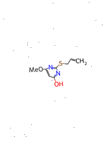 C=CCSc1nc(O)cc(OC)n1